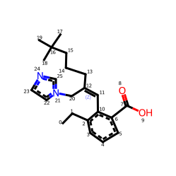 CCc1cccc(C(=O)O)c1/C=C(/CCCC(C)(C)C)Cn1ccnc1